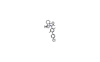 CCC1CCCCC1(C)/C(O)=C(\C(C)=O)c1cc(C)c(-c2ccc(Cl)cc2)cc1C